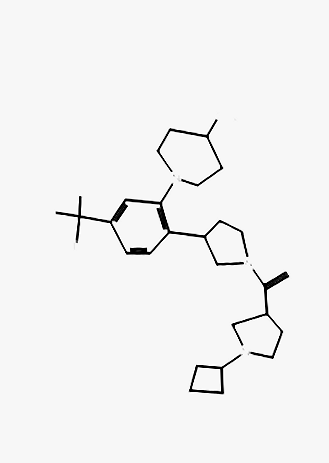 CC1CCN(c2cc(C(F)(F)F)ccc2C2CCN(C(=O)C3CCN(C4CCC4)C3)C2)CC1